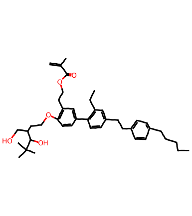 C=C(C)C(=O)OCCc1cc(-c2ccc(CCc3ccc(CCCCC)cc3)cc2CC)ccc1OCCC(CO)C(O)C(C)(C)C